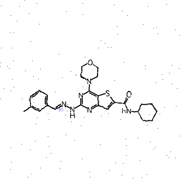 Cc1cccc(/C=N/Nc2nc(N3CCOCC3)c3sc(C(=O)NC4CCCCC4)cc3n2)c1